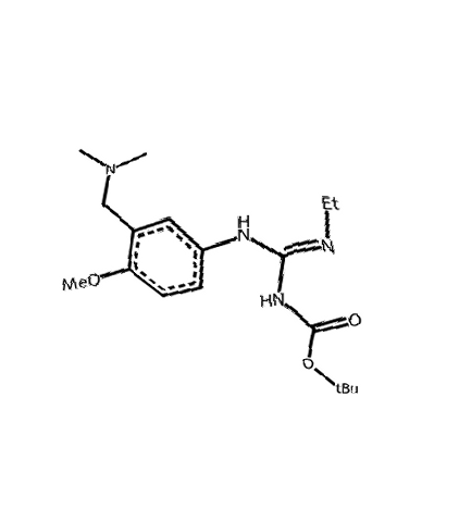 CC/N=C(/NC(=O)OC(C)(C)C)Nc1ccc(OC)c(CN(C)C)c1